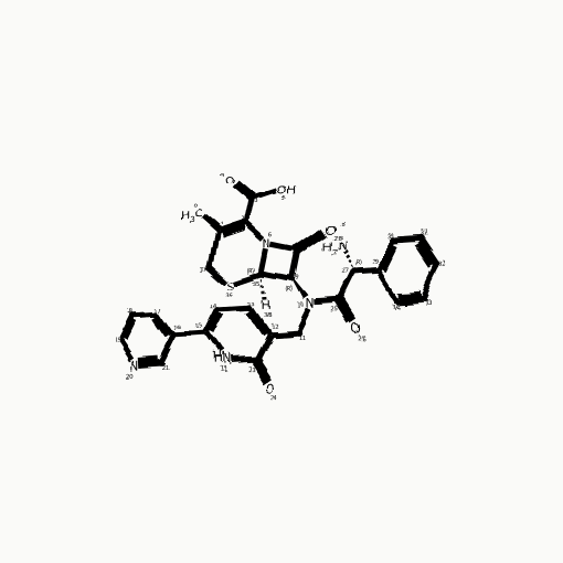 CC1=C(C(=O)O)N2C(=O)[C@@H](N(Cc3ccc(-c4cccnc4)[nH]c3=O)C(=O)[C@H](N)c3ccccc3)[C@H]2SC1